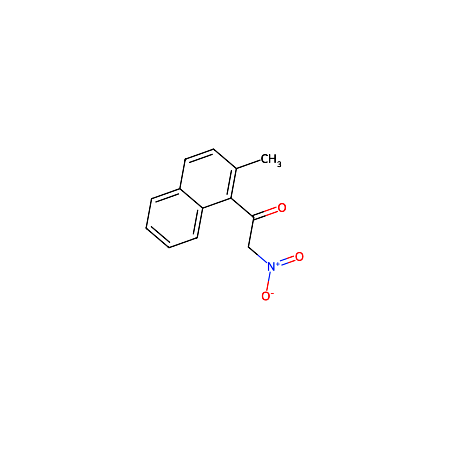 Cc1ccc2ccccc2c1C(=O)C[N+](=O)[O-]